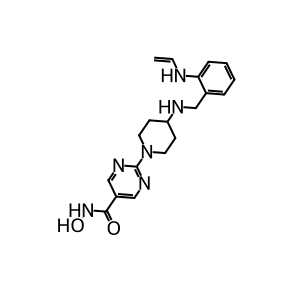 C=CNc1ccccc1CNC1CCN(c2ncc(C(=O)NO)cn2)CC1